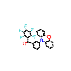 O=C(c1cccc(N2c3ccccc3Oc3ccccc32)c1)c1c(F)c(F)c(F)c(F)c1F